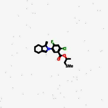 C=C1C2CCCCC2=CN1c1cc(C(=O)OC(C)CSC)c(Cl)cc1F